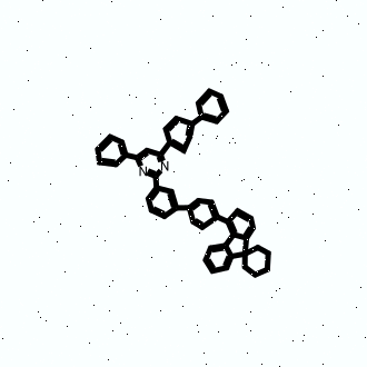 c1ccc(-c2ccc(-c3cc(-c4ccccc4)nc(-c4cccc(-c5ccc(-c6cccc7c6-c6ccccc6C76CCCCC6)cc5)c4)n3)cc2)cc1